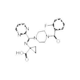 O=C(c1ccccc1F)N1CCN(C(=NC2(C(=O)O)CC2)c2ncccn2)CC1